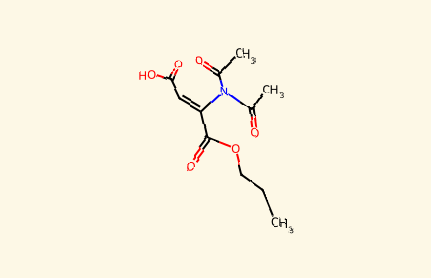 CCCOC(=O)/C(=C/C(=O)O)N(C(C)=O)C(C)=O